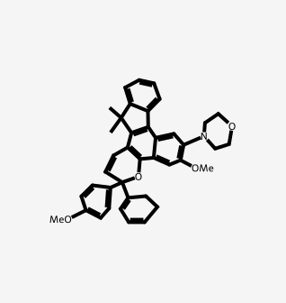 COc1ccc(C2(C3=CC=CCC3)C=Cc3c4c(c5cc(N6CCOCC6)c(OC)cc5c3O2)-c2ccccc2C4(C)C)cc1